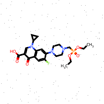 CCOP(=O)(CN1CCN(c2cc3c(cc2F)c(=O)c(C(=O)O)cn3C2CC2)CC1)OCC